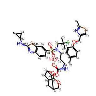 Cc1nc(COc2ccc(C[C@H](NC(=O)OC3C4COC5OC3CC5C4)[C@H](O)CN(CC(C)(C)F)S(=O)(=O)c3ccc4nc(NC5CC5)sc4c3)cc2)cs1